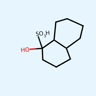 O=S(=O)(O)C1(O)CCCC2CCCCC21